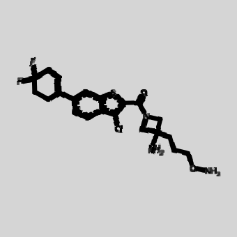 NOCCCC1(N)CN(C(=O)c2sc3cc(C4=CCC(F)(F)CC4)ccc3c2Cl)C1